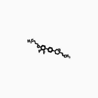 C/C=C/C1CCC(c2ccc(-c3ccc(OCCCC)c(F)c3F)cc2)CO1